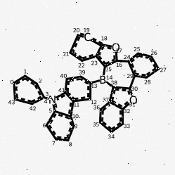 c1ccc(-n2c3ccccc3c3cc(B4c5c(oc6ccccc56)-c5ccccc5-c5oc6ccccc6c54)ccc32)cc1